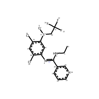 CCN/C(=N\c1cc([S+]([O-])CC(F)(F)F)c(Cl)cc1Cl)c1cccnc1